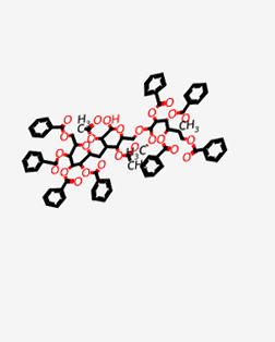 COC(OCC1OC(O)C(OC(C)=O)C(CC2OC(COC(=O)c3ccccc3)C(OC(=O)c3ccccc3)C(OC(=O)c3ccccc3)C2OC(=O)c2ccccc2)C1OC(C)=O)C(OC(=O)c1ccccc1)C(OC(=O)c1ccccc1)C(OC(=O)c1ccccc1)C(C)COC(=O)c1ccccc1